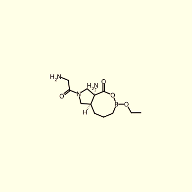 CCOB1CCC[C@H]2CN(C(=O)CN)C[C@@]2(N)C(=O)O1